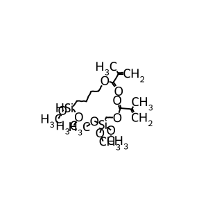 C=C(C)C(=O)OCCCC[SiH](OC)OC.C=C(C)C(=O)OC[Si](OC)(OC)OC